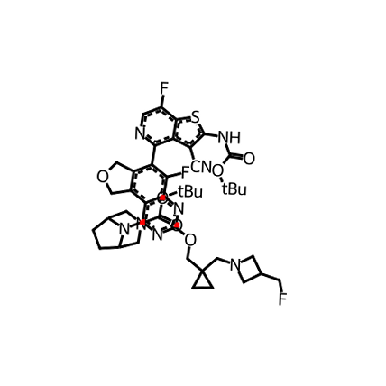 CC(C)(C)OC(=O)Nc1sc2c(F)cnc(-c3c4c(c5c(N6C7CCC6CN(C(=O)OC(C)(C)C)C7)nc(OCC6(CN7CC(CF)C7)CC6)nc5c3F)COC4)c2c1C#N